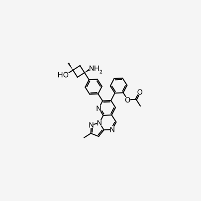 CC(=O)Oc1ccccc1-c1cc2cnc3cc(C)nn3c2nc1-c1ccc([C@]2(N)C[C@](C)(O)C2)cc1